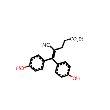 CCOC(=O)CCC(C#N)=C(c1ccc(O)cc1)c1ccc(O)cc1